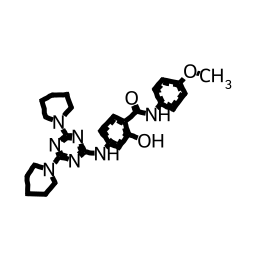 COc1ccc(NC(=O)c2ccc(Nc3nc(N4CCCCC4)nc(N4CCCCC4)n3)cc2O)cc1